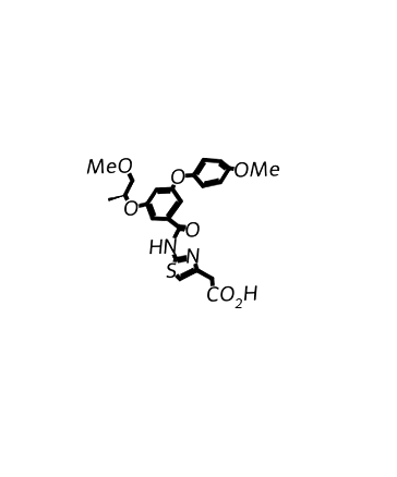 COC[C@H](C)Oc1cc(Oc2ccc(OC)cc2)cc(C(=O)Nc2nc(CC(=O)O)cs2)c1